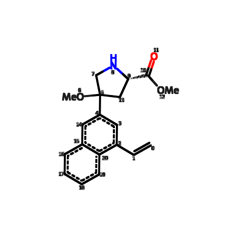 C=Cc1cc(C2(OC)CN[C@H](C(=O)OC)C2)cc2ccccc12